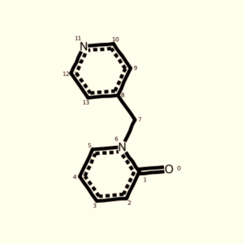 O=c1ccccn1Cc1ccncc1